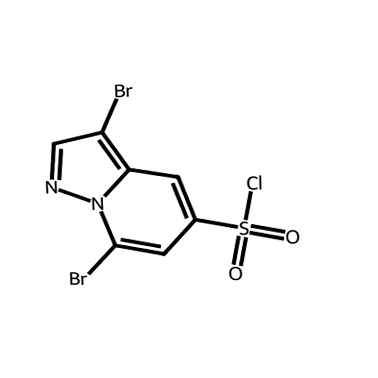 O=S(=O)(Cl)c1cc(Br)n2ncc(Br)c2c1